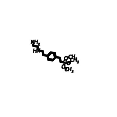 CO[Si](CCc1ccc(CCNCCN)cc1)(OC)OC